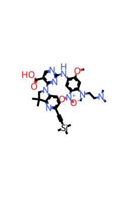 COc1cc(N(C)CCN(C)C)c([N+](=O)[O-])cc1Nc1ncc(C(=O)O)c(N2CC(C)(C)c3nc(C#C[Si](C)(C)C)ccc32)n1